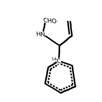 C=CC(N[C]=O)[14c]1ccccc1